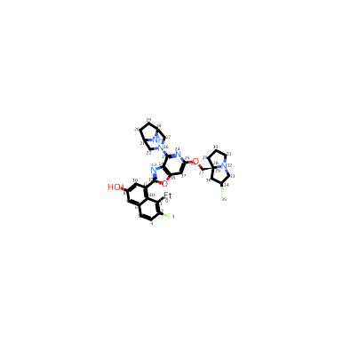 CCc1c(F)ccc2cc(O)cc(-c3nc4c(N5CC6CCC(C5)N6)nc(OC[C@@]56CCCN5CC(F)C6)cc4o3)c12